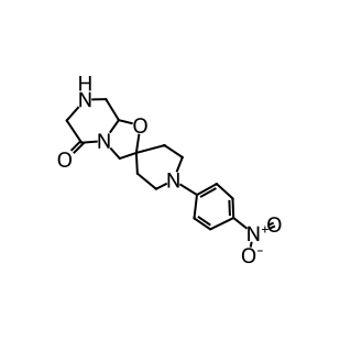 O=C1CNCC2OC3(CCN(c4ccc([N+](=O)[O-])cc4)CC3)CN12